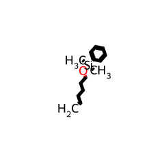 C=CCCCCO[Si](C)(C)c1ccccc1